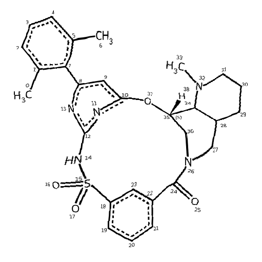 Cc1cccc(C)c1-c1cc2nc(n1)NS(=O)(=O)c1cccc(c1)C(=O)N1CC3CCCN(C)C3[C@H](C1)O2